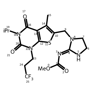 COC(=O)N=C1NCCN1Cc1sc2c(c1C)c(=O)n(C(C)C)c(=O)n2CCC(F)(F)F